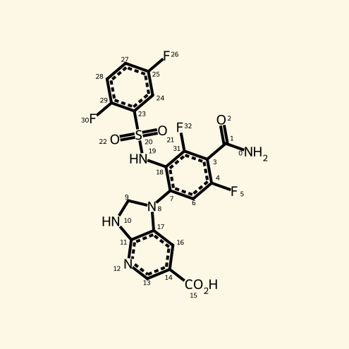 NC(=O)c1c(F)cc(N2CNc3ncc(C(=O)O)cc32)c(NS(=O)(=O)c2cc(F)ccc2F)c1F